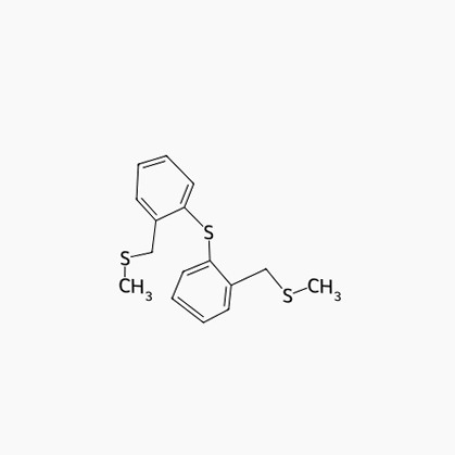 CSCc1ccccc1Sc1ccccc1CSC